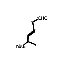 CCCCC(C)/C=C/CC=O